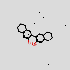 Oc1cc2c(cc1-c1cc3c(cc1O)CCCC3)CCCC2